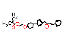 C=C(C)C(=O)OCCOC1CCC(c2ccc(CC(=O)/C=C/c3ccccc3)cc2)CC1